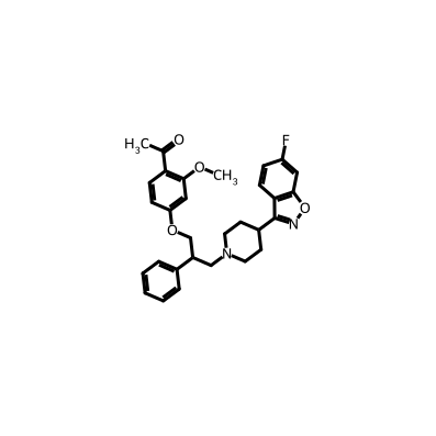 COc1cc(OCC(CN2CCC(c3noc4cc(F)ccc34)CC2)c2ccccc2)ccc1C(C)=O